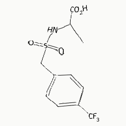 CC(NS(=O)(=O)Cc1ccc(C(F)(F)F)cc1)C(=O)O